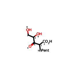 CCCCCC(C(=O)O)C(=O)C(O)CO